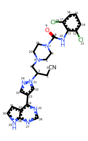 N#CCC(CN1CCN(C(=O)Nc2c(Cl)cccc2Cl)CC1)n1cc(-c2ncnc3[nH]ccc23)cn1